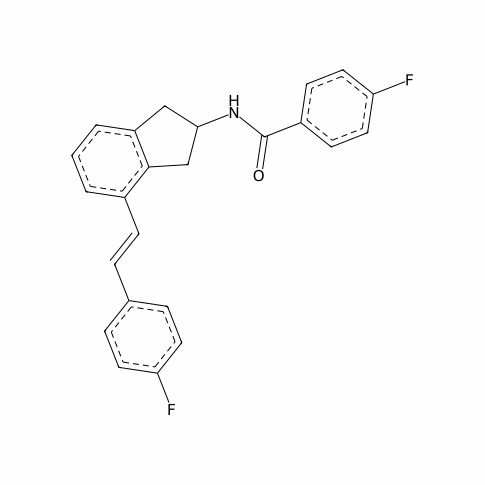 O=C(NC1Cc2cccc(C=Cc3ccc(F)cc3)c2C1)c1ccc(F)cc1